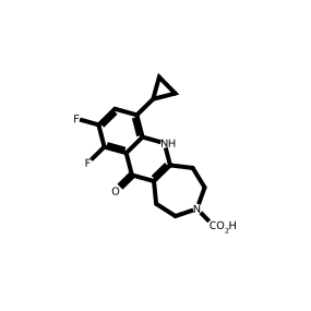 O=C(O)N1CCc2[nH]c3c(C4CC4)cc(F)c(F)c3c(=O)c2CC1